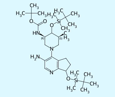 C[C@H]1CN(c2c(N)cnc3c2CCC3O[Si](C)(C)C(C)(C)C)C[C@@H](NC(=O)OC(C)(C)C)C1O[Si](C)(C)C(C)(C)C